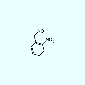 O=NCC1=C([N+](=O)[O-])CCC=C1